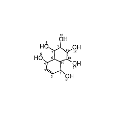 OC1C=CC(O)C2C(O)C(O)C(O)C(O)C12